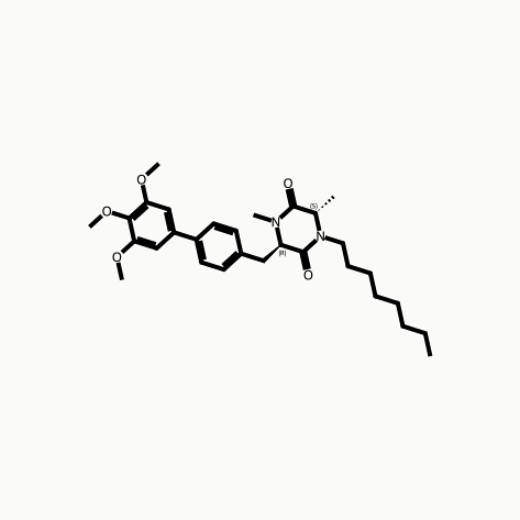 CCCCCCCCN1C(=O)[C@@H](Cc2ccc(-c3cc(OC)c(OC)c(OC)c3)cc2)N(C)C(=O)[C@@H]1C